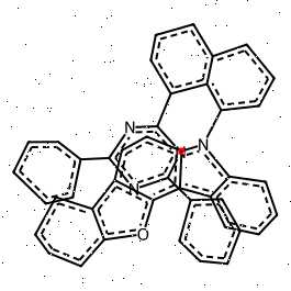 c1ccc(-c2nc(-c3ccccc3)nc(-c3cccc4cccc(-n5c6ccccc6c6c7oc8ccccc8c7ccc65)c34)n2)cc1